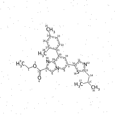 CCOC(=O)c1cn2cc(-c3cnc(CC(C)C)s3)cc(-c3ccc(C)cc3C)c2n1